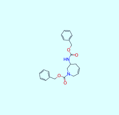 O=C(NC1CC=CCN(C(=O)OCc2ccccc2)C1)OCc1ccccc1